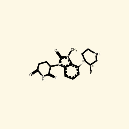 Cn1c(=O)n(C2CCC(=O)NC2=O)c2cccc([C@@H]3CCNC[C@H]3F)c21